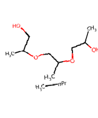 CC(O)COC(C)COC(C)CO.CCCC